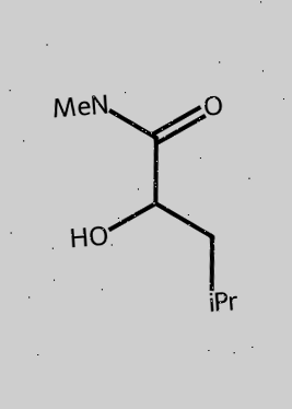 CNC(=O)C(O)CC(C)C